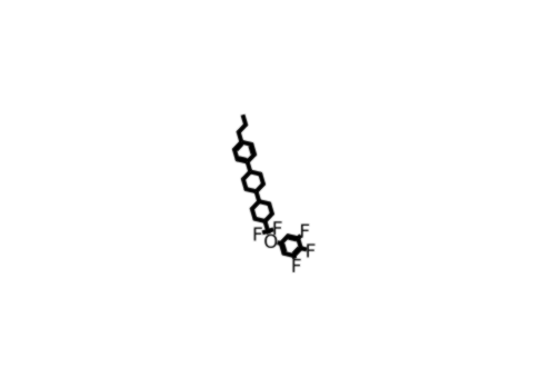 CCCc1ccc(C2CCC(C3CCC(C(F)(F)Oc4cc(F)c(F)c(F)c4)CC3)CC2)cc1